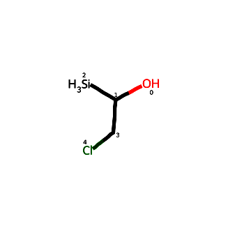 OC([SiH3])CCl